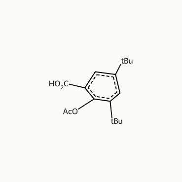 CC(=O)Oc1c(C(=O)O)cc(C(C)(C)C)cc1C(C)(C)C